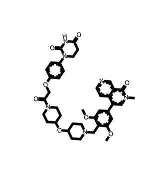 COc1cc(-c2cn(C)c(=O)c3cnccc23)cc(OC)c1CN1CCC(OC2CCN(C(=O)COc3ccc(N4CCC(=O)NC4=O)cc3)CC2)CC1